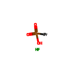 CC(C)S(=O)(=O)O.F